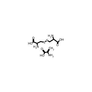 C=C(N)C(=O)O.NC(CSSCC(N)C(=O)O)C(=O)O